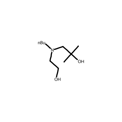 CCCCN(CCO)CC(C)(C)O